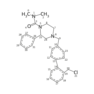 CN(C)C(=O)N1CCN(Cc2ccc(-c3ccccc3CCl)cc2)CC1c1ccccc1